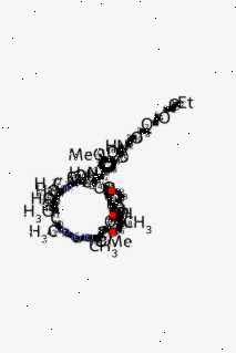 CCOCCOCCOCCOCCNC(=O)O[C@@H]1CC[C@@H](C[C@@H](N)C2C[C@@H](O)[C@H](C)/C=C(\C)[C@@H](O)[C@@H](O)C(=O)[C@H](C)C[C@H](C)/C=C/C=C/C=C(\C)[C@@H](OC)C[C@@H]3CC[C@@H](C)C(=O)C(O)(O3)C(=O)N3CCCC[C@H]3C(=O)O2)C[C@H]1OC